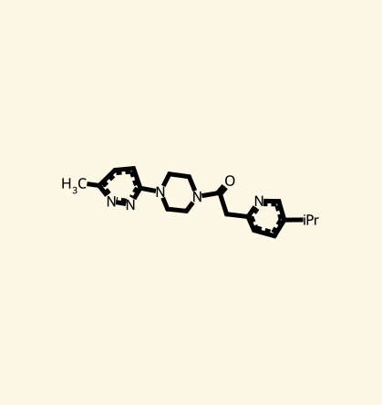 Cc1ccc(N2CCN(C(=O)Cc3ccc(C(C)C)cn3)CC2)nn1